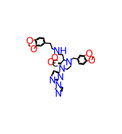 O=C=C1C(CC(=O)NCCc2ccc3c(c2)OCO3)N(Cc2ccc3c(c2)OCO3)CCN1c1ccnc(-n2ccnc2)n1